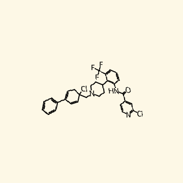 O=C(Nc1cccc(C(F)(F)F)c1C1CCN(CC2(Cl)C=CC(c3ccccc3)=CC2)CC1)c1ccnc(Cl)c1